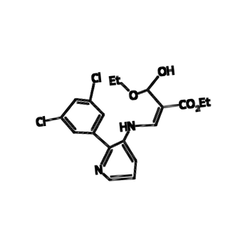 CCOC(=O)/C(=C/Nc1cccnc1-c1cc(Cl)cc(Cl)c1)C(O)OCC